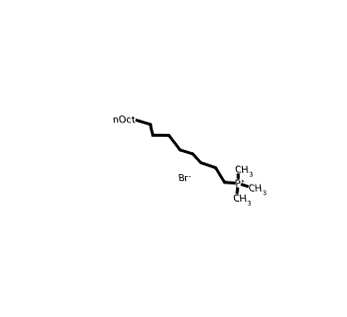 CCCCCCCCCCCCCCCC[P+](C)(C)C.[Br-]